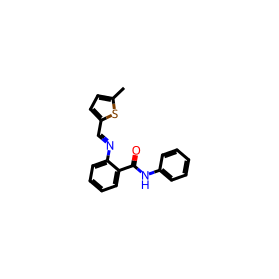 Cc1ccc(C=Nc2ccccc2C(=O)Nc2ccccc2)s1